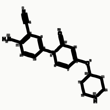 N#Cc1cc(-n2ccc(OC3CCNCC3)cc2=O)ccc1N